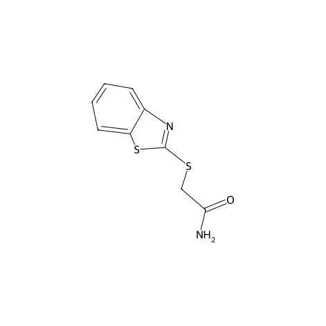 NC(=O)CSc1nc2ccccc2s1